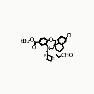 CC(C)(C)OC(=O)c1ccc2c(c1)N(C[C@@H]1CC[C@H]1CCC=O)C[C@@]1(CCCc3cc(Cl)ccc31)CO2